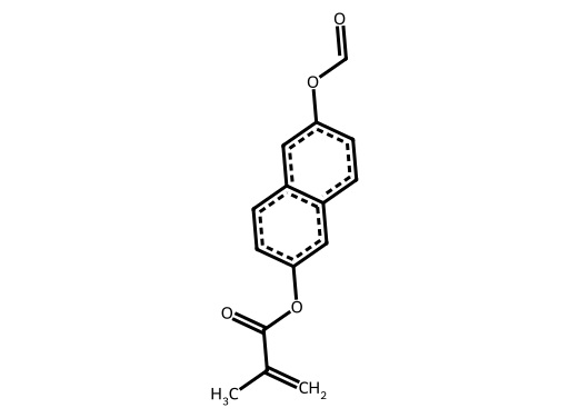 C=C(C)C(=O)Oc1ccc2cc(OC=O)ccc2c1